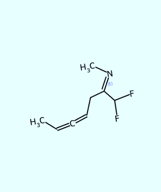 CC=C=CC/C(=N\C)C(F)F